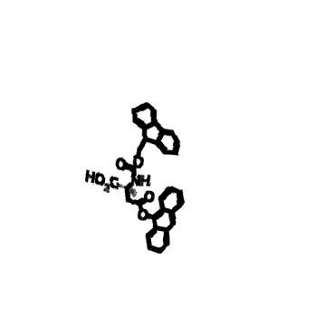 O=C(C[C@@H](NC(=O)OCC1c2ccccc2-c2ccccc21)C(=O)O)Oc1c2ccccc2cc2ccccc12